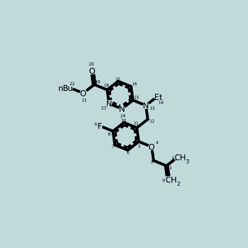 C=C(C)COc1ccc(F)cc1CN(CC)c1ccc(C(=O)OCCCC)nn1